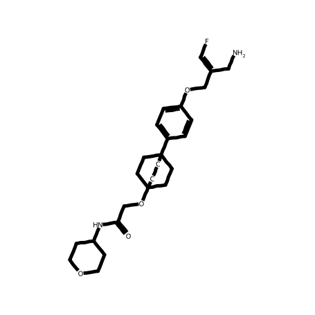 NCC(=CF)COc1ccc(C23CCC(OCC(=O)NC4CCOCC4)(CC2)CC3)cc1